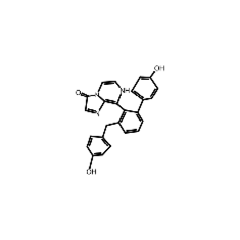 O=c1cnc2c(-c3c(Cc4ccc(O)cc4)cccc3-c3ccc(O)cc3)[nH]ccn1-2